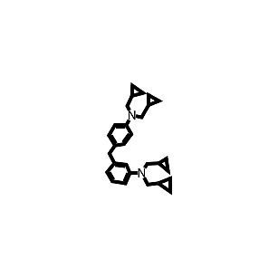 c1cc(Cc2ccc(N(CC3CC3)CC3CC3)cc2)cc(N(CC2CC2)CC2CC2)c1